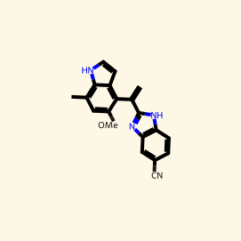 C=C(c1nc2cc(C#N)ccc2[nH]1)c1c(OC)cc(C)c2[nH]ccc12